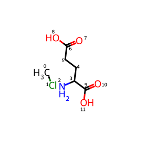 CCl.NC(CCC(=O)O)C(=O)O